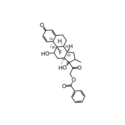 CC1C[C@H]2[C@@H]3CCC4=CC(=O)C=C[C@]4(C)[C@@]3(F)C(O)C[C@]2(C)[C@@]1(O)C(=O)COC(=O)c1ccccc1